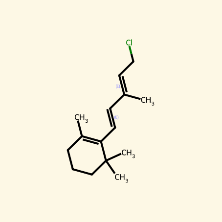 CC1=C(/C=C/C(C)=C/CCl)C(C)(C)CCC1